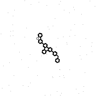 c1ccc(Cc2ccc(-c3ccc4c5ccc(-c6ccc7oc8ccccc8c7c6)cc5c5ccccc5c4c3)cc2)cc1